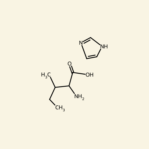 CCC(C)C(N)C(=O)O.c1c[nH]cn1